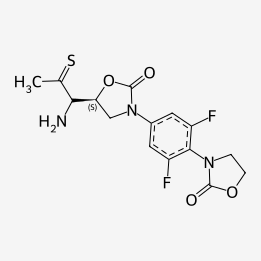 CC(=S)C(N)[C@@H]1CN(c2cc(F)c(N3CCOC3=O)c(F)c2)C(=O)O1